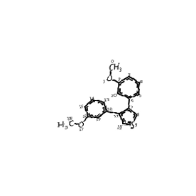 COc1cccc(-c2cscc2-c2cccc(OC)c2)c1